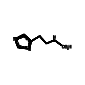 O=C(O)NCCc1cncs1